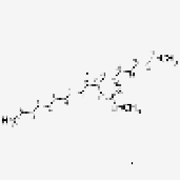 CCCCCCCCCCC(CCCCCCCC)CC(=O)CC